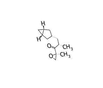 C[C@@H](C[C@@H]1C[C@@H]2C[C@@H]2C1)C(=O)[C@@]1(C)CO1